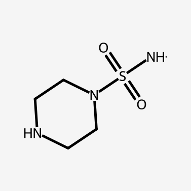 [NH]S(=O)(=O)N1CCNCC1